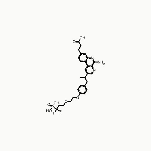 CC(Cc1ccc(OCCOCCC(F)(F)P(=O)(O)O)cc1)c1cnc2c(N)nc3cc(CCC(=O)O)ccc3c2c1